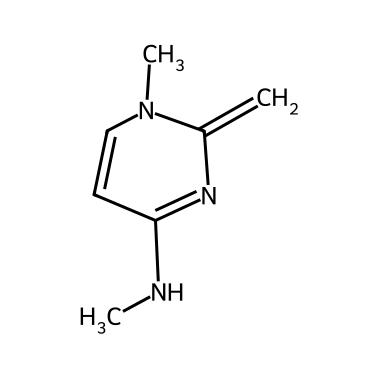 C=C1N=C(NC)C=CN1C